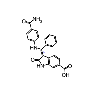 NC(=O)c1ccc(N/C(=C2\C(=O)Nc3cc(C(=O)O)ccc32)c2ccccc2)cc1